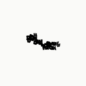 CN(CCCNC(=O)Nc1ccc2c(c1)OCO2)CC1O[C@@H](N)[C@H](O)[C@@H]1O